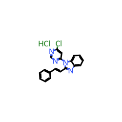 Cl.Clc1cc(-n2c(/C=C/c3ccccc3)nc3ccccc32)ncn1